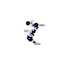 CNCCOC1CC2(C)CC3(C)CC3C(Cn3ncc(-c4ccc(N5CCc6c(OC)ccc(C(=O)Nc7nc8ccccc8s7)c6C5)nc4C(=O)O)c3C)(C1)C2